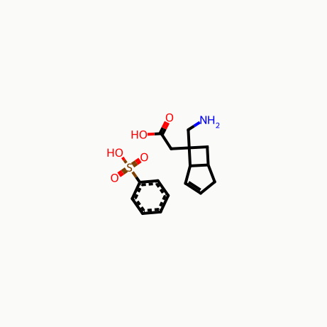 NCC1(CC(=O)O)CC2CC=CC21.O=S(=O)(O)c1ccccc1